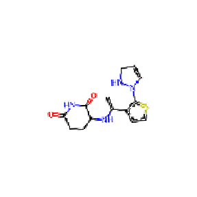 C=C(NC1CCC(=O)NC1=O)c1ccsc1N1C=CCN1